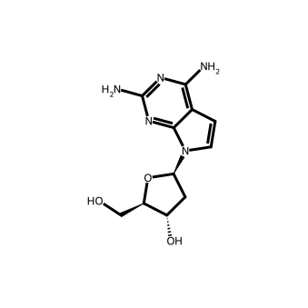 Nc1nc(N)c2ccn([C@H]3C[C@H](O)[C@@H](CO)O3)c2n1